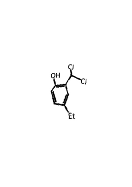 CCc1ccc(O)c(C(Cl)Cl)c1